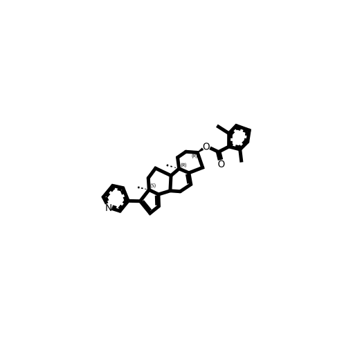 Cc1cccc(C)c1C(=O)O[C@@H]1CC[C@@]2(C)C(=CCC3C4=CC=C(c5cccnc5)[C@@]4(C)CCC32)C1